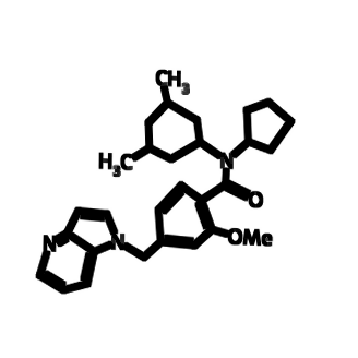 COc1cc(Cn2ccc3ncccc32)ccc1C(=O)N(C1CCCC1)C1CC(C)CC(C)C1